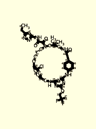 CCc1nnc(NC(=O)C(=O)N2CCCOc3ccc(cc3Cl)CNc3nc(nc(OCC(F)(F)F)n3)Nc3ccc(cc3)C(=O)NCC(C)(C)C2)s1